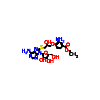 CCOC(=O)c1ccc(OCC(O)CSc2nc3c(N)ncnc3n2[C@@H]2O[C@H](CO)[C@@H](O)[C@H]2O)c(N)c1